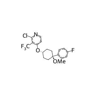 CO[C@]1(c2ccc(F)cc2)CC[C@@H](Oc2ccnc(Cl)c2C(F)(F)F)CC1